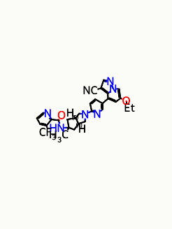 CCOc1cc(-c2ccc(N3C[C@@H]4CC(C)(NC(=O)c5ncccc5C(F)(F)F)C[C@@H]4C3)nc2)c2c(C#N)cnn2c1